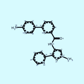 Cn1cc(NC(=O)c2cccc(-c3ccc(N)nc3)n2)c(-c2ccccn2)n1